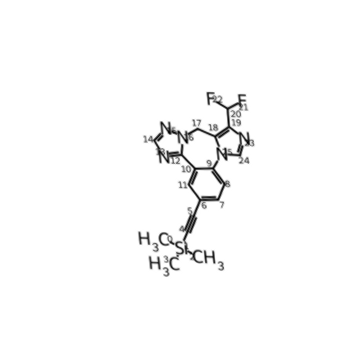 C[Si](C)(C)C#Cc1ccc2c(c1)-c1ncnn1Cc1c(C(F)F)ncn1-2